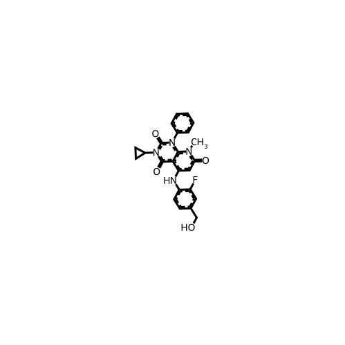 Cn1c(=O)cc(Nc2ccc(CO)cc2F)c2c(=O)n(C3CC3)c(=O)n(-c3ccccc3)c21